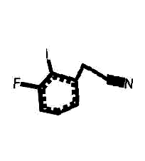 N#CCc1cccc(F)c1I